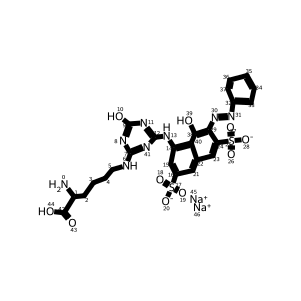 NC(CCCCNc1nc(O)nc(Nc2cc(S(=O)(=O)[O-])cc3cc(S(=O)(=O)[O-])c(N=Nc4ccccc4)c(O)c23)n1)C(=O)O.[Na+].[Na+]